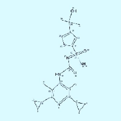 Cc1c(C2CC2)nc(C2CC2)c(C)c1NC(=O)N=[S@](N)(=O)c1cc(C(C)(C)O)cs1